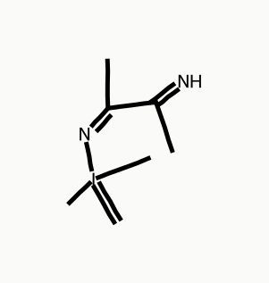 C=I(C)(C)/N=C(/C)C(C)=N